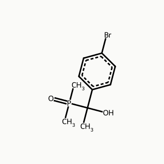 CC(O)(c1ccc(Br)cc1)P(C)(C)=O